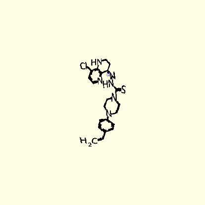 C=Cc1ccc(N2CCN(C(=S)N/N=C3/CCNc4c(Cl)ccnc43)CC2)cc1